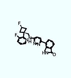 O=C1NCc2c1cccc2-c1ccc(NC[C@]2(c3ncccc3F)C[C@H](F)C2)nn1